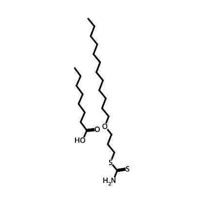 CCCCCCCC(=O)O.CCCCCCCCCCCCOCCCSC(N)=S